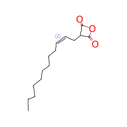 CCCCCCCCC/C=C\CC1C(=O)OC1=O